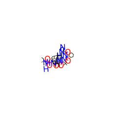 CC[C@H](C)NC(=O)C(=O)[C@@H]1CCC2C[C@H]3CN(C(=O)[C@@H](NC(=O)[C@@H](NC(=O)c4cnccn4)C4CCCCC4)C(C)(C)C)[C@H](C(=O)N1)[C@H]3C2